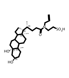 C=CCN(CCS(=O)(=O)O)C(=O)CC[C@@H](C)[C@H]1CCC2C3CC[C@]4(O)C[C@H](O)CC[C@]4(C)C3CC[C@@]21C